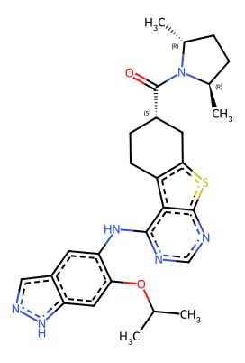 CC(C)Oc1cc2[nH]ncc2cc1Nc1ncnc2sc3c(c12)CC[C@H](C(=O)N1[C@H](C)CC[C@H]1C)C3